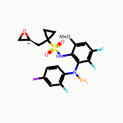 COc1cc(F)c(F)c(N(P)c2ccc(I)cc2F)c1NS(=O)(=O)C1(C[C@H]2CO2)CC1